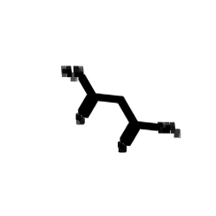 NC(=S)CC(N)=S